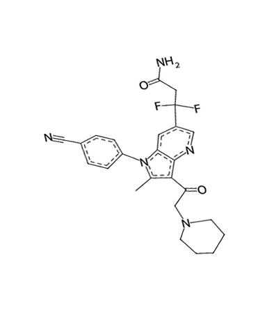 Cc1c(C(=O)CN2CCCCC2)c2ncc(C(F)(F)CC(N)=O)cc2n1-c1ccc(C#N)cc1